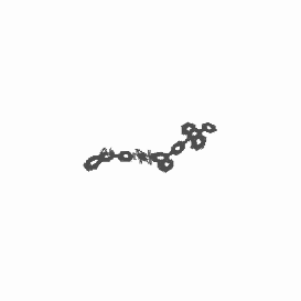 c1ccc(-c2c3ccccc3c(-c3ccc(-c4cc5nn(-c6ccc(-c7cnc8ccccc8c7)cc6)nc5c5ccccc45)cc3)c3ccccc23)cc1